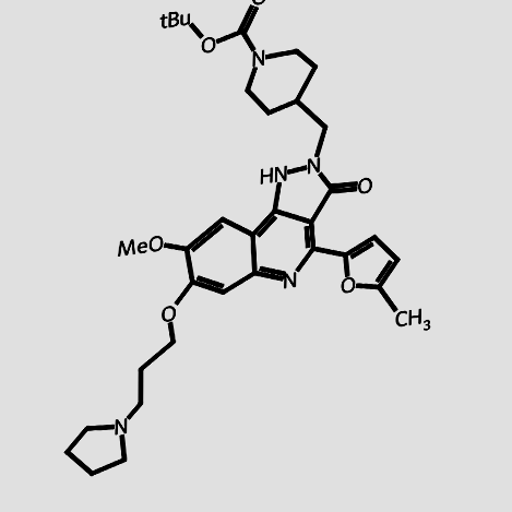 COc1cc2c(cc1OCCCN1CCCC1)nc(-c1ccc(C)o1)c1c(=O)n(CC3CCN(C(=O)OC(C)(C)C)CC3)[nH]c12